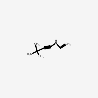 C=CNC#CC(C)(C)N